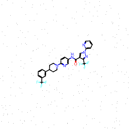 O=C(Nc1ccc(N2CCC(c3cccc(C(F)(F)F)c3)CC2)nc1)c1cn(-c2ccccn2)nc1C(F)(F)F